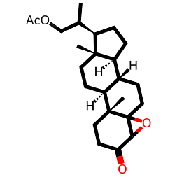 CC(=O)OCC(C)[C@H]1CC[C@H]2[C@@H]3CCC45OC4C(=O)CC[C@]5(C)[C@H]3CC[C@]12C